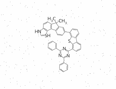 CC1(C)c2cc(-c3cccc4c3sc3c(-c5nc(-c6ccccc6)nc(-c6ccccc6)n5)cccc34)ccc2-c2c1ccc1c2[SH]=CN1